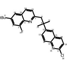 CC(C)(C)c1cc(F)c2nc(CC(C)(C)c3ccc4nc(Cl)ccc4c3)ccc2c1